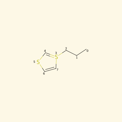 CCCS1=CSC=C1